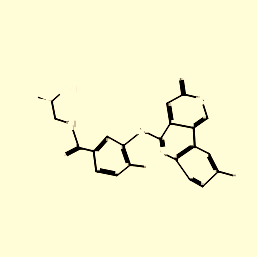 Cc1ccc(C(=O)NC[C@@H](C)O)cc1Nc1nc2ccc(F)cc2c2c1=CC(=O)[N]C=2